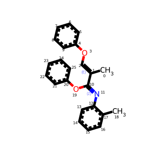 CC(=C\Oc1ccccc1)/C(=N/c1ccccc1C)Oc1ccccc1